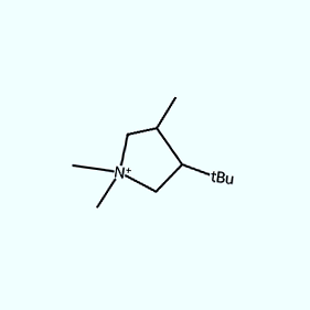 CC1C[N+](C)(C)CC1C(C)(C)C